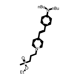 CCCCN(CCCC)c1ccc(C=Cc2cc[n+](CCCP(C)(=O)OCC)cc2)cc1